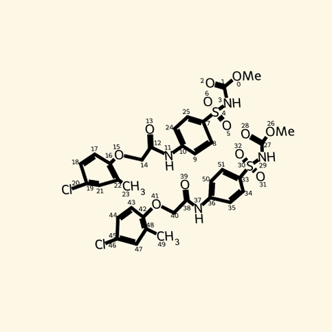 COC(=O)NS(=O)(=O)c1ccc(NC(=O)COc2ccc(Cl)cc2C)cc1.COC(=O)NS(=O)(=O)c1ccc(NC(=O)COc2ccc(Cl)cc2C)cc1